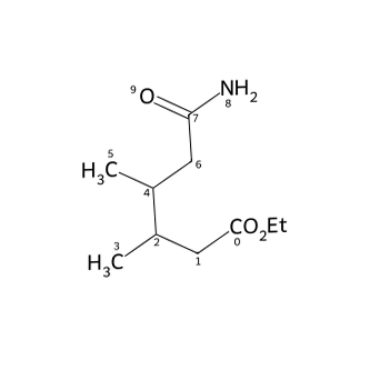 CCOC(=O)CC(C)C(C)CC(N)=O